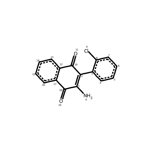 NC1=C(c2ccccc2Cl)C(=O)c2ccccc2C1=O